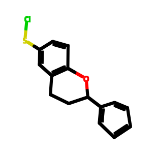 ClSc1ccc2c(c1)CCC(c1ccccc1)O2